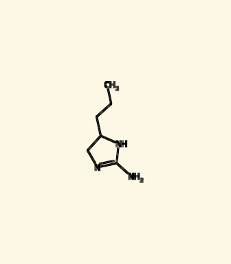 CCCC1CN=C(N)N1